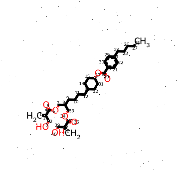 C=C(CO)C(=O)OCC(CCCCC1CCC(OC(=O)c2ccc(CCCCC)cc2)CC1)COC(=O)C(=C)CO